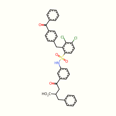 O=C(CC(Cc1ccccc1)C(=O)O)c1cccc(NS(=O)(=O)c2ccc(Cl)c(Cl)c2Cc2ccc(C(=O)c3ccccc3)cc2)c1